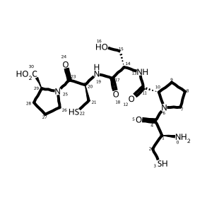 N[C@@H](CS)C(=O)N1CCC[C@H]1C(=O)N[C@@H](CO)C(=O)N[C@@H](CS)C(=O)N1CCC[C@H]1C(=O)O